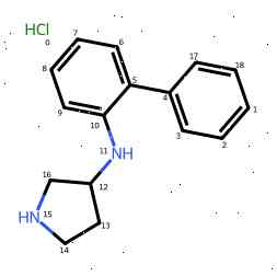 Cl.c1ccc(-c2ccccc2NC2CCNC2)cc1